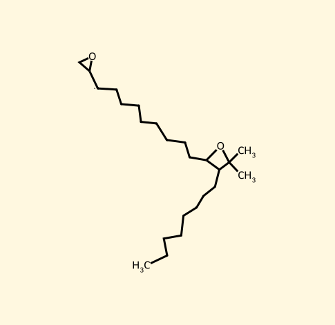 CCCCCCCCC1C(CCCCCCCC[CH]C2CO2)OC1(C)C